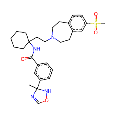 CC1(c2cccc(C(=O)NC3(CCN4CCc5ccc(S(C)(=O)=O)cc5CC4)CCCCC3)c2)N=CON1